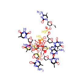 CC[C@H]1O[C@@H](n2cc(C)c(N)nc2=O)C[C@H]1OP(=O)(S)OC[C@H]1O[C@@H](n2cc(C)c(=O)[nH]c2=O)C[C@H]1OP(=O)(S)OC[C@H]1O[C@@H](n2cc(C)c(=O)[nH]c2=O)C[C@H]1OP(=O)(S)OC[C@H]1O[C@@H](n2cc(C)c(=O)[nH]c2=O)C[C@H]1OP(=O)(S)OC[C@H]1O[C@@H](n2cnc3c(N)ncnc32)C[C@H]1OP(=O)(S)OC[C@H]1O[C@@H](n2cc(C)c(=O)[nH]c2=O)C[C@H]1OP(=O)(S)OC[C@H]1O[C@@H](n2cc(C)c(N)nc2=O)C[C@H]1OP(=O)(O)S